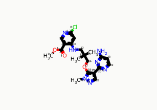 COC(=O)c1cnc(Cl)cc1NCC(C)(C)COc1c(-c2nccc(N)n2)cnn1C